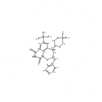 O=c1[nH]c(=O)n2c3c(cc(C(F)(F)F)cc13)[SH](C1CCC(F)(F)CC1)C[C@@H](Oc1ncccn1)C2